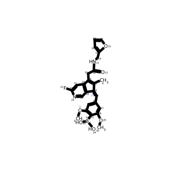 COc1cc(/C=C2/C(C)=C(CC(=O)NCc3ccco3)c3cc(F)ncc32)cc(OC)c1B(O)O